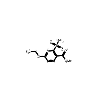 COC(=O)c1ccc(OCC(F)(F)F)nc1S(N)(=O)=O